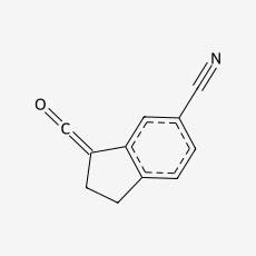 N#Cc1ccc2c(c1)C(=C=O)CC2